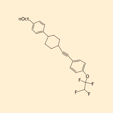 CCCCCCCCc1ccc(C2CCC(C#Cc3ccc(OC(F)(F)C(F)F)cc3)CC2)cc1